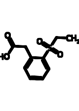 CCS(=O)(=O)c1ccccc1CC(=O)O